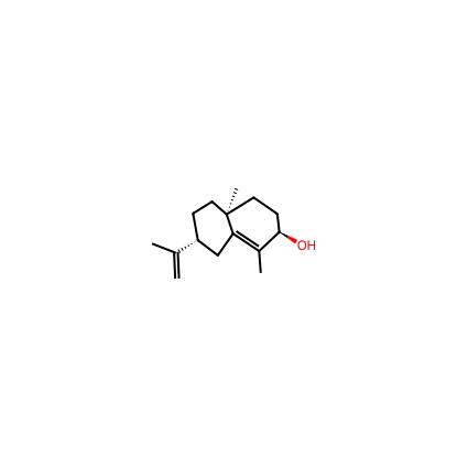 C=C(C)[C@@H]1CC[C@@]2(C)CC[C@@H](O)C(C)=C2C1